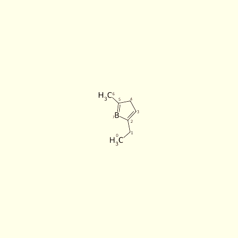 CCC1=CCC(C)=B1